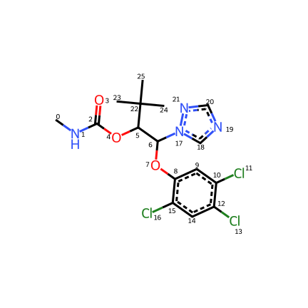 CNC(=O)OC(C(Oc1cc(Cl)c(Cl)cc1Cl)n1cncn1)C(C)(C)C